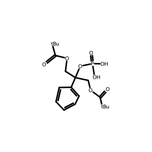 CC(C)(C)C(=O)OCC(COC(=O)C(C)(C)C)(OP(=O)(O)O)c1ccccc1